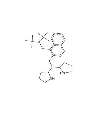 CC(C)(C)P(Cc1c(CP(C2CCCN2)C2CCCN2)ccc2ccccc12)C(C)(C)C